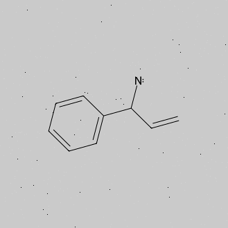 C=CC([N])c1ccccc1